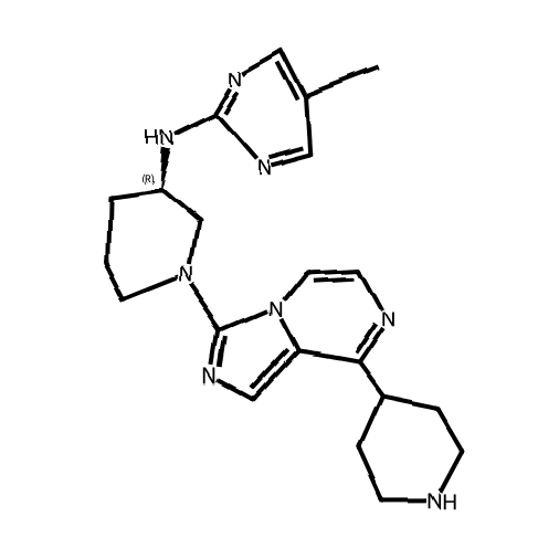 Cc1cnc(N[C@@H]2CCCN(c3ncc4c(C5CCNCC5)nccn34)C2)nc1